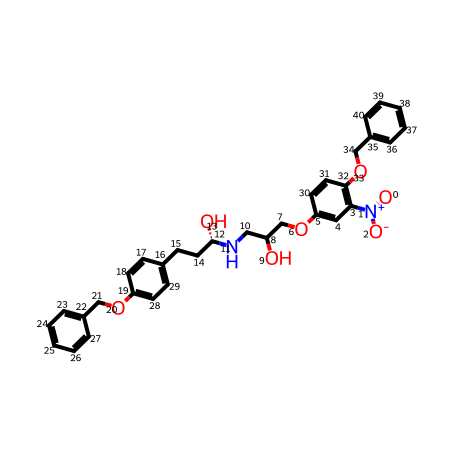 O=[N+]([O-])c1cc(OCC(O)CN[C@@H](O)CCc2ccc(OCc3ccccc3)cc2)ccc1OCc1ccccc1